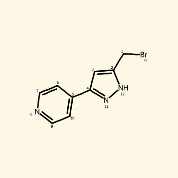 BrCc1cc(-c2ccncc2)n[nH]1